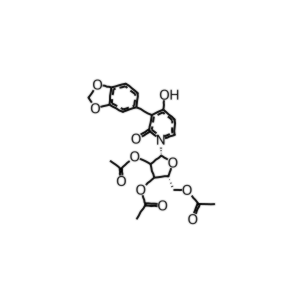 CC(=O)OC[C@H]1O[C@@H](n2ccc(O)c(-c3ccc4c(c3)OCO4)c2=O)C(OC(C)=O)C1OC(C)=O